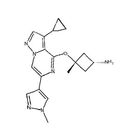 Cn1cc(-c2cn3ncc(C4CC4)c3c(O[C@]3(C)C[C@H](N)C3)n2)cn1